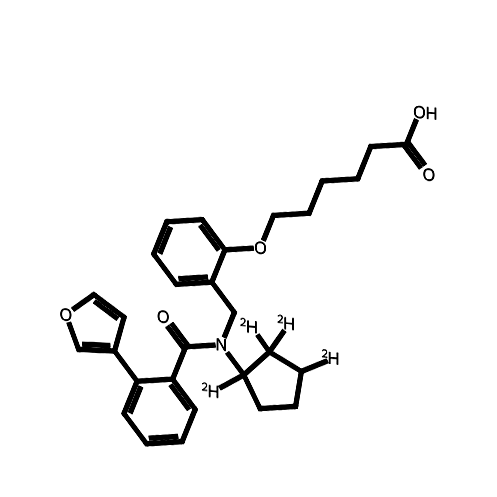 [2H]C1CCC([2H])(N(Cc2ccccc2OCCCCCC(=O)O)C(=O)c2ccccc2-c2ccoc2)C1([2H])[2H]